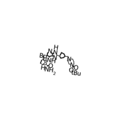 CC(C)(C)OC(=O)N1CCN(Cc2ccc(-c3nc4c(N[C@H]5[C@@H](C(N)=O)[C@@H]6C=C[C@H]5C6)c(Br)cnc4[nH]3)cc2)CC1